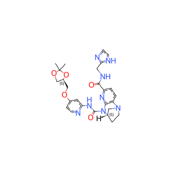 CC1(C)OC[C@H](COc2ccnc(NC(=O)N3c4nc(C(=O)NCc5ncc[nH]5)ccc4N4CC[C@H]3C4)c2)O1